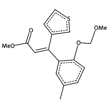 COCOc1ccc(C)cc1C(=CC(=O)OC)c1ccsc1